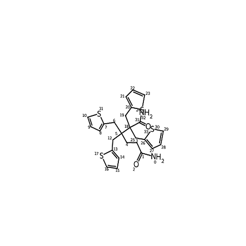 NC(=O)CCC(Cc1cccs1)(Cc1cccs1)C(Cc1cccs1)(Cc1cccs1)C(N)=O